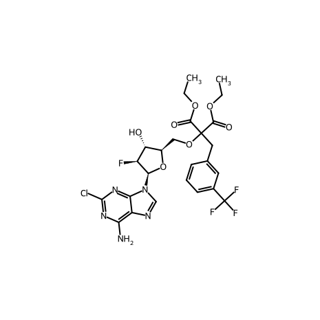 CCOC(=O)C(Cc1cccc(C(F)(F)F)c1)(OC[C@H]1O[C@@H](n2cnc3c(N)nc(Cl)nc32)[C@@H](F)[C@@H]1O)C(=O)OCC